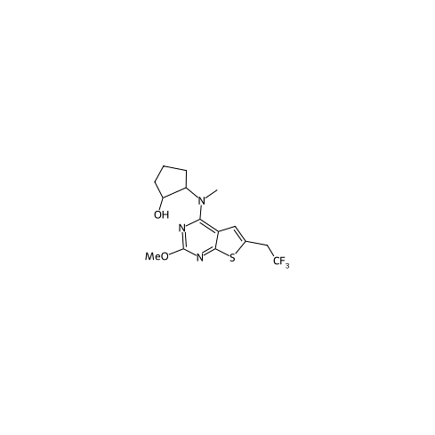 COc1nc(N(C)C2CCCC2O)c2cc(CC(F)(F)F)sc2n1